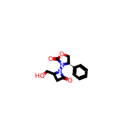 O=C1CC(CO)N1N1C(=O)OC[C@@H]1c1ccccc1